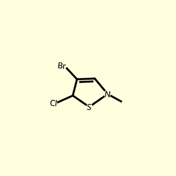 CN1C=C(Br)C(Cl)S1